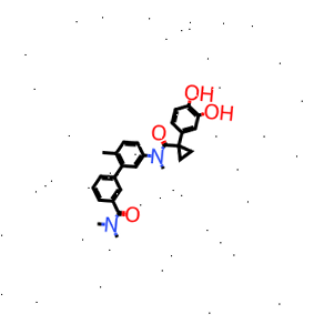 Cc1ccc(N(C)C(=O)C2(c3ccc(O)c(O)c3)CC2)cc1-c1cccc(C(=O)N(C)C)c1